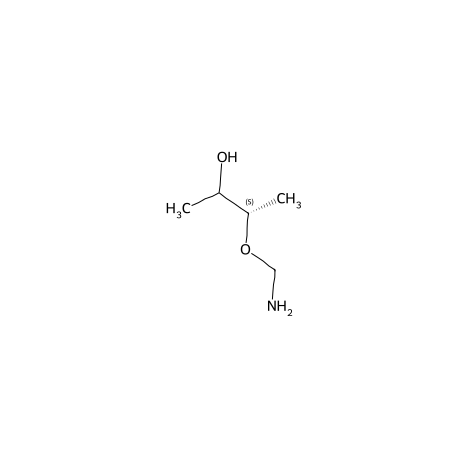 CC(O)[C@H](C)OCN